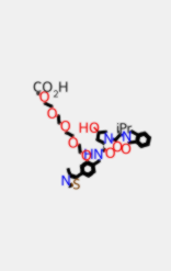 Cc1ncsc1-c1ccc(CNC(=O)[C@@H]2C[C@@H](O)CN2C(=O)[C@H](C(C)C)N2Cc3ccccc3C2=O)c(OCCOCCOCCOCCOCC(=O)O)c1